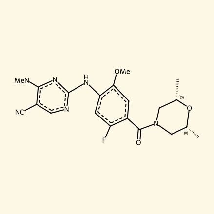 CNc1nc(Nc2cc(F)c(C(=O)N3C[C@@H](C)O[C@@H](C)C3)cc2OC)ncc1C#N